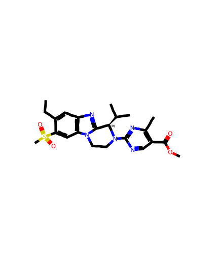 CCc1cc2nc3n(c2cc1S(C)(=O)=O)CCN(c1ncc(C(=O)OC)c(C)n1)[C@@H]3C(C)C